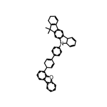 CC1(C)C2=C(C=CCC2)c2cc3c(cc21)N(c1ccc(C2=CCC(c4cccc5c4oc4ccccc45)C=C2)cc1)C1C=CC=CC31